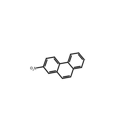 O=[N+]([O-])c1ccc2c(ccc3c[c]ccc32)c1